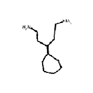 NCCC(CCN)C1CCCCC1